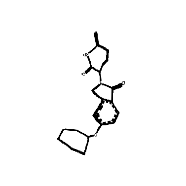 C=C1CCC(N2Cc3cc(OC4CCCCC4)ccc3C2=O)C(=O)N1